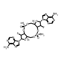 B[P@@]1(=O)OC[C@H]2O[C@@H](n3cnc4c(N)ncnc43)C(F)C2O[P@@](=O)(S)OC[C@H]2O[C@@H](n3cnc4c(N)ncnc43)C(F)C2O1